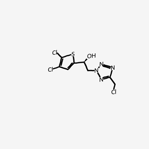 O[C@@H](Cn1nnc(CCl)n1)c1cc(Cl)c(Cl)s1